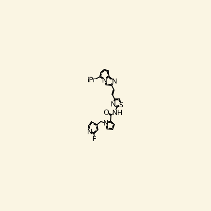 CC(C)c1cccc2nc(C=Cc3csc(NC(=O)c4cccn4Cc4ccnc(F)c4)n3)cn12